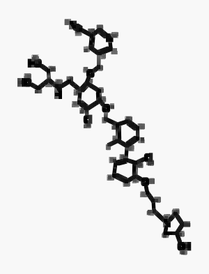 Cc1c(COc2cc(OCc3cncc(C#N)c3)c(CNC(CO)CO)cc2Cl)cccc1-c1cccc(OCCCN2CCC(O)C2)c1Cl